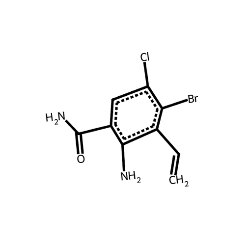 C=Cc1c(N)c(C(N)=O)cc(Cl)c1Br